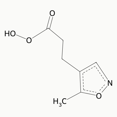 Cc1oncc1CCC(=O)OO